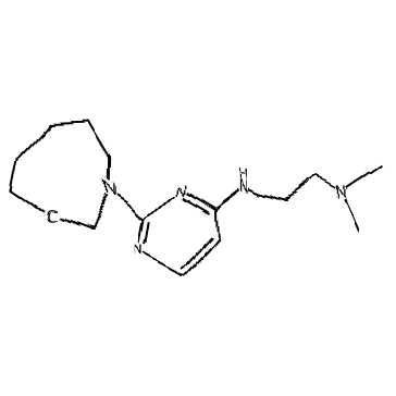 CN(C)CCNc1ccnc(N2CCCCCCC2)n1